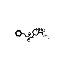 NC(=O)C1CC([CH]S(=O)(=O)CCc2ccccc2)CCN1